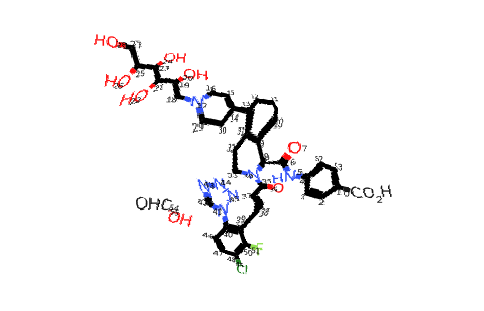 O=C(O)c1ccc(NC(=O)[C@@H]2c3cccc(C4=CCN(CC(O)C(O)C(O)C(O)CO)CC4)c3CCN2C(=O)/C=C/c2c(-n3cnnn3)ccc(Cl)c2F)cc1.O=CO